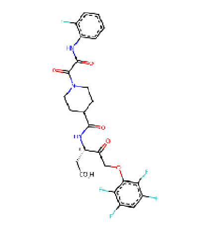 O=C(O)C[C@H](NC(=O)C1CCN(C(=O)C(=O)Nc2ccccc2F)CC1)C(=O)COc1c(F)c(F)cc(F)c1F